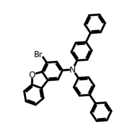 Brc1cc(N(c2ccc(-c3ccccc3)cc2)c2ccc(-c3ccccc3)cc2)cc2c1oc1ccccc12